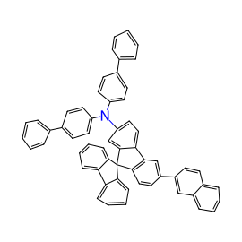 c1ccc(-c2ccc(N(c3ccc(-c4ccccc4)cc3)c3ccc4c(c3)C3(c5ccccc5-c5ccccc53)c3ccc(-c5ccc6ccccc6c5)cc3-4)cc2)cc1